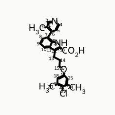 Cc1cnccc1-c1cccc2c(CCCOc3cc(C)c(Cl)c(C)c3)c(C(=O)O)[nH]c12